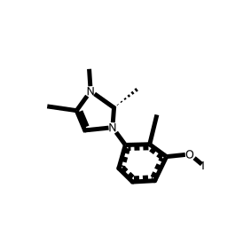 CC1=CN(c2cccc(OI)c2C)[C@@H](C)N1C